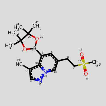 CC1(C)OB(c2cc(CCS(C)(=O)=O)cn3ncc(C#N)c23)OC1(C)C